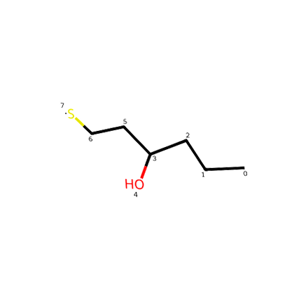 CCCC(O)CC[S]